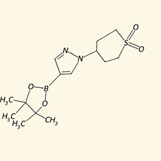 CC1(C)OB(c2cnn(C3CCS(=O)(=O)CC3)c2)OC1(C)C